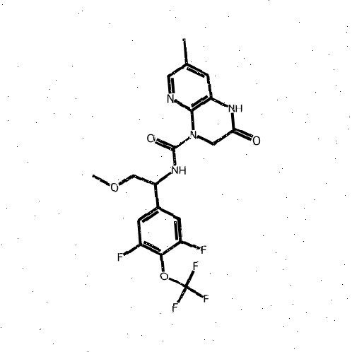 COCC(NC(=O)N1CC(=O)Nc2cc(C)cnc21)c1cc(F)c(OC(F)(F)F)c(F)c1